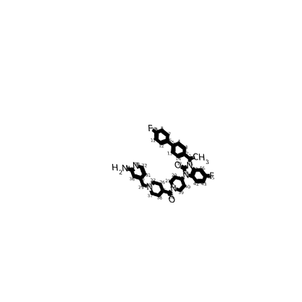 CC(c1ccc(-c2ccc(F)cc2)cc1)n1c(=O)n(C2CCN(C(=O)C3CCN(Cc4ccnc(N)c4)CC3)CC2)c2ccc(F)cc21